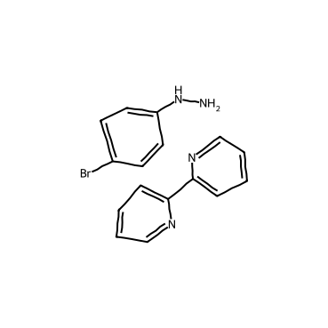 NNc1ccc(Br)cc1.c1ccc(-c2ccccn2)nc1